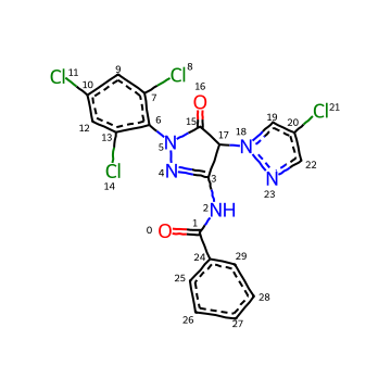 O=C(NC1=NN(c2c(Cl)cc(Cl)cc2Cl)C(=O)C1n1cc(Cl)cn1)c1ccccc1